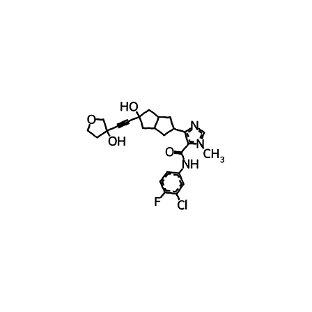 Cn1cnc(C2CC3CC(O)(C#CC4(O)CCOC4)CC3C2)c1C(=O)Nc1ccc(F)c(Cl)c1